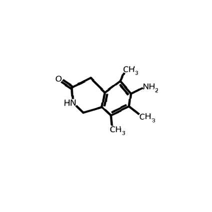 Cc1c(C)c2c(c(C)c1N)CC(=O)NC2